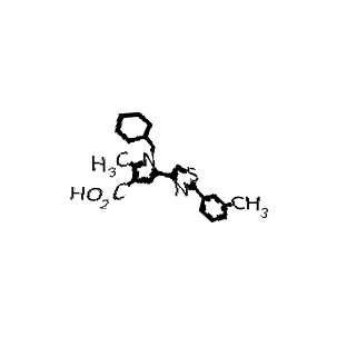 Cc1cccc(-c2nc(-c3cc(C(=O)O)c(C)n3CC3CCCCC3)cs2)c1